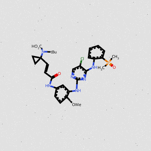 COc1ccc(NC(=O)C=CC2(N(C(=O)O)C(C)(C)C)CC2)cc1Nc1ncc(Cl)c(Nc2ccccc2P(C)(C)=O)n1